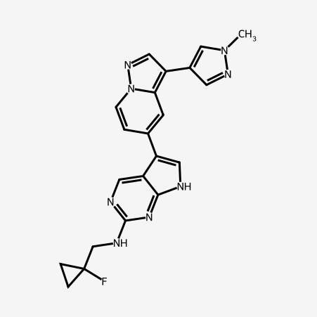 Cn1cc(-c2cnn3ccc(-c4c[nH]c5nc(NCC6(F)CC6)ncc45)cc23)cn1